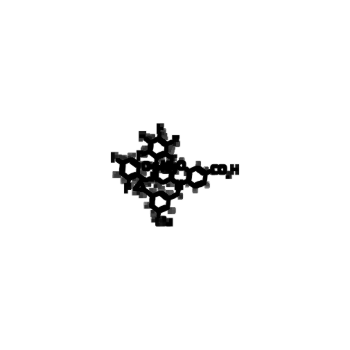 COc1cc(C(=O)O)ccc1N(Cc1cc(C2CC2)cc(C(C)(C)C)c1)C(=O)CN(Cc1ccc(F)cc1F)S(=O)(=O)c1c(F)c(F)c(F)c(F)c1F